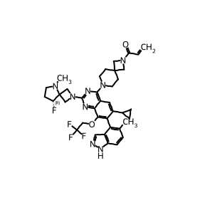 C=CC(=O)N1CC2(CCN(c3nc(N4CC5(C4)[C@H](F)CCN5C)nc4c(OCC(F)(F)F)c(-c5c(C)ccc6[nH]ncc56)c(C5CC5)cc34)CC2)C1